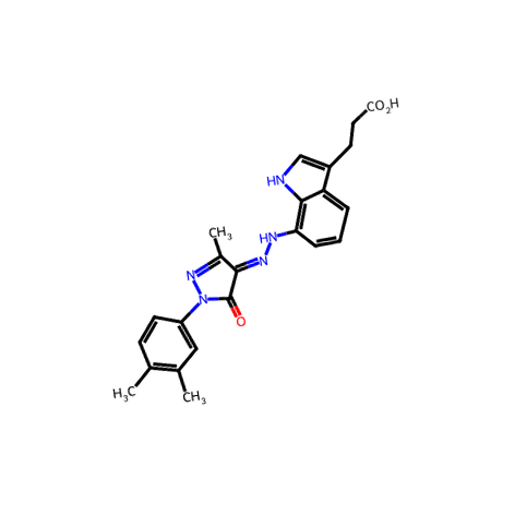 CC1=NN(c2ccc(C)c(C)c2)C(=O)C1=NNc1cccc2c(CCC(=O)O)c[nH]c12